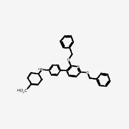 O=C(O)C1CCC(Nc2ccc(-c3ccc(OCc4ccccc4)nc3OCc3ccccc3)cc2)CC1